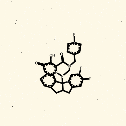 O=C1c2c(O)c(=O)ccn2N(C23c4ccccc4CC2Cc2cc(F)c(F)cc23)CN1Cc1ccc(F)cc1